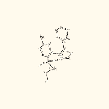 CCNS(=O)(=O)c1ccc(N)cc1-c1ccnn1-c1ccccc1